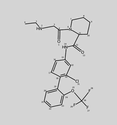 CCNCC(=O)N1CCCCC1C(=O)Nc1ccc(-c2ccccc2OC(F)(F)F)c(Cl)c1